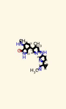 C/N=C/C1(c2ccc(Nc3cc(C)c(-c4ccc(NC)c5c4CNC5=O)cn3)cn2)CC1